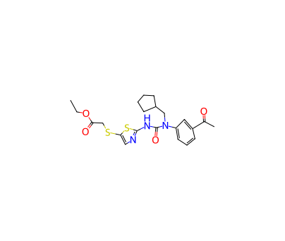 CCOC(=O)CSc1cnc(NC(=O)N(CC2CCCC2)c2cccc(C(C)=O)c2)s1